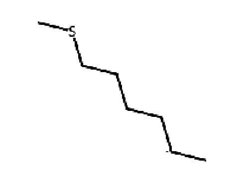 C[CH]CCCCSC